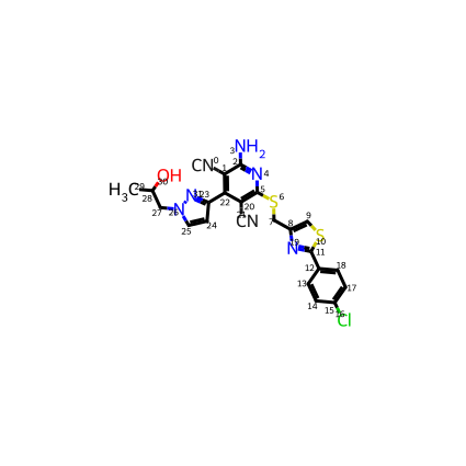 [C-]#[N+]c1c(N)nc(SCc2csc(-c3ccc(Cl)cc3)n2)c(C#N)c1-c1ccn(CC(C)O)n1